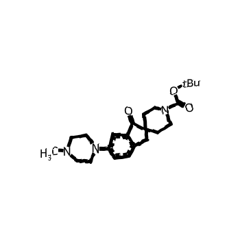 CN1CCN(c2ccc3c(c2)C(=O)C2(CCN(C(=O)OC(C)(C)C)CC2)C3)CC1